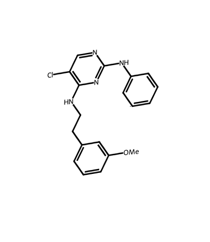 COc1cccc(CCNc2nc(Nc3c[c]ccc3)ncc2Cl)c1